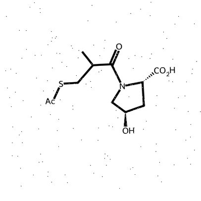 CC(=O)SCC(C)C(=O)N1C[C@H](O)C[C@H]1C(=O)O